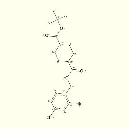 CC(C)(C)OC(=O)N1CCC(C(=O)OCc2ncc(Cl)cc2Br)CC1